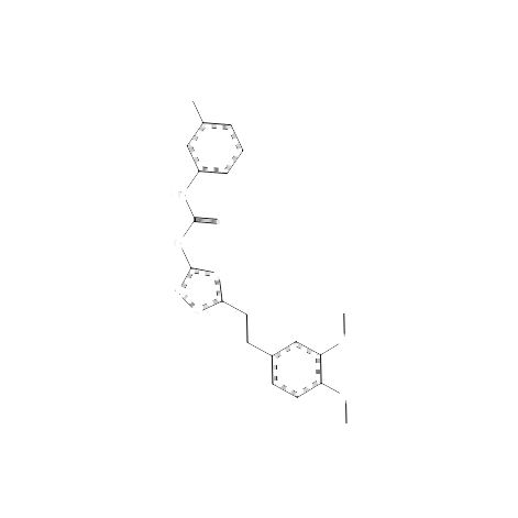 COc1ccc(CCc2nnc(NC(=O)Nc3cccc(Cl)c3)s2)cc1OC